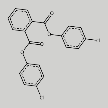 O=C(Oc1ccc(Cl)cc1)c1ccccc1C(=O)Oc1ccc(Cl)cc1